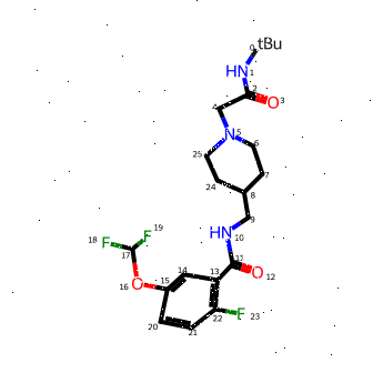 CC(C)(C)NC(=O)CN1CCC(CNC(=O)c2cc(OC(F)F)ccc2F)CC1